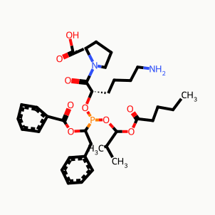 CCCCC(=O)OC(OP(O[C@@H](CCCCN)C(=O)N1CCC[C@H]1C(=O)O)C(Cc1ccccc1)OC(=O)c1ccccc1)C(C)C